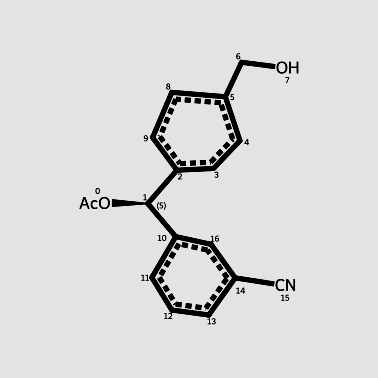 CC(=O)O[C@@H](c1ccc(CO)cc1)c1cccc(C#N)c1